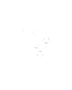 CC(=O)N1CCC(C(=O)N2CCC(N(C)C(=O)c3cc(C(F)(F)F)cc(C(F)(F)F)c3)C(c3ccc(F)cc3)C2)CC1